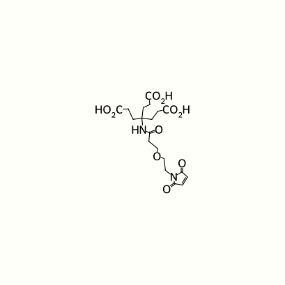 O=C(O)CCC(CCC(=O)O)(CCC(=O)O)NC(=O)CCOCCN1C(=O)C=CC1=O